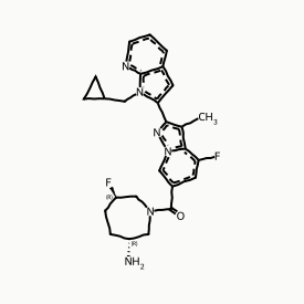 Cc1c(-c2cc3cccnc3n2CC2CC2)nn2cc(C(=O)N3C[C@H](N)CC[C@@H](F)C3)cc(F)c12